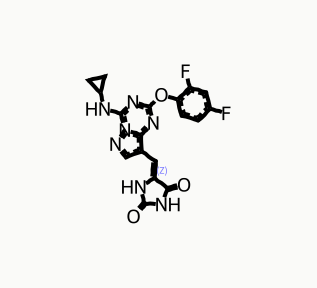 O=C1NC(=O)/C(=C/c2cnn3c(NC4CC4)nc(Oc4ccc(F)cc4F)nc23)N1